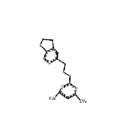 CSc1cc(N)nc(SCCc2cc3c(cn2)SCC3)n1